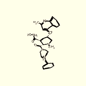 Cc1cc(O[C@H]2C[C@H](C(=O)NO)[C@@H](C(=O)N3CCN(c4ccccc4)CC3)N(C)C2)c2ccccc2n1